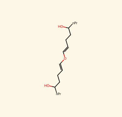 CCCC(O)CCC=COC=CCCC(O)CCC